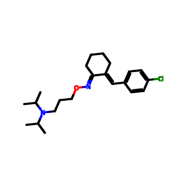 CC(C)N(CCCO/N=C1\CCCC\C1=C/c1ccc(Cl)cc1)C(C)C